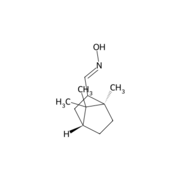 CC1(C)[C@@H]2CC[C@]1(C)C(C=NO)C2